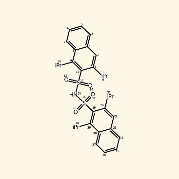 CC(C)c1cc2ccccc2c(C(C)C)c1S(=O)(=O)NS(=O)(=O)c1c(C(C)C)cc2ccccc2c1C(C)C